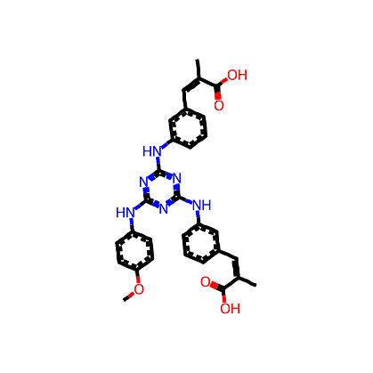 COc1ccc(Nc2nc(Nc3cccc(C=C(C)C(=O)O)c3)nc(Nc3cccc(C=C(C)C(=O)O)c3)n2)cc1